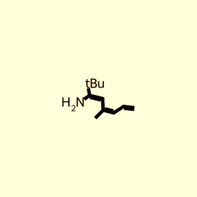 C=C/C=C(C)\C=C(/N)C(C)(C)C